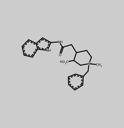 C[N+]1(Cc2ccccc2)CCC(CC(=O)Nc2cc3ccccc3[nH]2)C(C(=O)O)C1